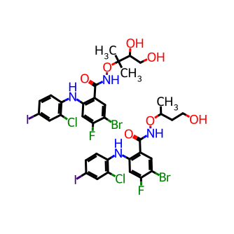 CC(C)(ONC(=O)c1cc(Br)c(F)cc1Nc1ccc(I)cc1Cl)C(O)CO.CC(CCO)ONC(=O)c1cc(Br)c(F)cc1Nc1ccc(I)cc1Cl